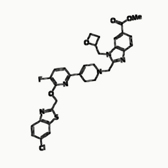 COC(=O)c1ccc2nc(CN3CC=C(c4ccc(F)c(OCc5nc6ccc(Cl)cc6s5)n4)CC3)n(CC3CCO3)c2c1